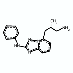 C[C@H](CN)Cc1cccc2nc(Nc3ccccc3)nn12